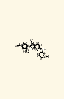 C#Cc1ccc(-c2nc3nc(N[C@@H]4CCCNC4)ccc3n2C)c(O)c1